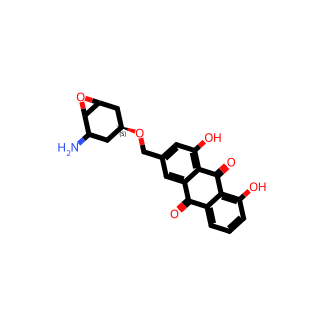 NC1C[C@H](OCc2cc(O)c3c(c2)C(=O)c2cccc(O)c2C3=O)CC2OC12